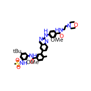 COc1cc(Nc2ncc3cc(-c4cc(C(=O)Nc5cc(C(C)(C)C)cc(NS(C)(=O)=O)c5OC)ccc4C)ccc3n2)ccc1C(=O)NCCN1CCOCC1